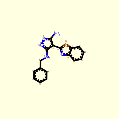 Nc1n[nH]c(NCc2ccccc2)c1-c1nc2ccccc2s1